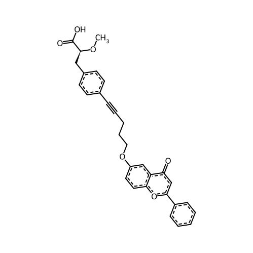 CO[C@@H](Cc1ccc(C#CCCCOc2ccc3oc(-c4ccccc4)cc(=O)c3c2)cc1)C(=O)O